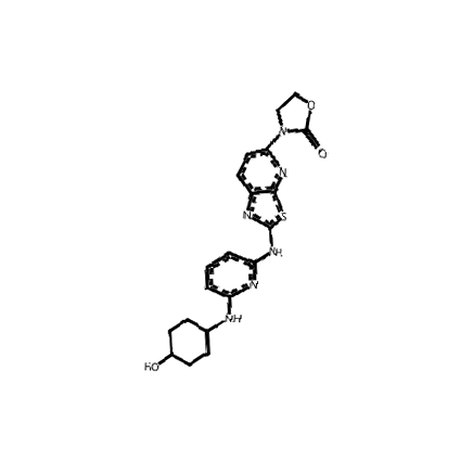 O=C1OCCN1c1ccc2nc(Nc3cccc(NC4CCC(O)CC4)n3)sc2n1